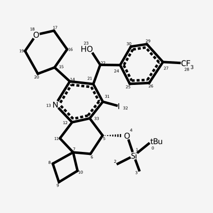 CC(C)(C)[Si](C)(C)O[C@@H]1CC2(CCC2)Cc2nc(C3CCOCC3)c(C(O)c3ccc(C(F)(F)F)cc3)c(I)c21